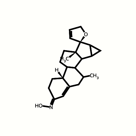 CC1CC2=CC(=NO)CC[C@@H]2C2CC[C@@]3(C)C(C4CC4[C@@]34C=CCO4)C12